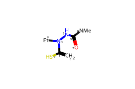 C=C(S)N(CC)NC(=O)NC